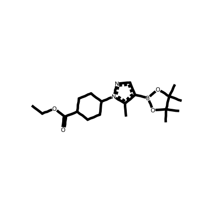 CCOC(=O)C1CCC(n2ncc(B3OC(C)(C)C(C)(C)O3)c2C)CC1